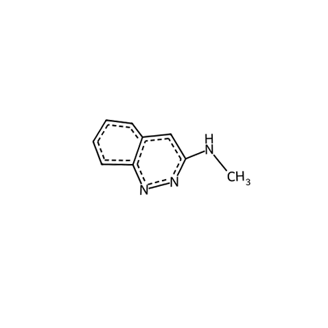 CNc1cc2ccccc2nn1